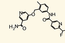 Cc1ccc(NC(=O)c2ccc(C(F)F)nc2)cc1COc1cncc(C(N)=O)c1